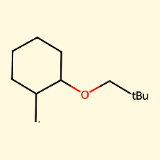 [CH2]C1CCCCC1OCC(C)(C)C